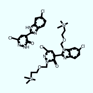 C[Si](C)(C)CCOCn1nc(Cl)cc(-c2nc3ccc(Cl)cc3n2COCC[Si](C)(C)C)c1=O.O=c1[nH]nc(Cl)cc1-c1nc2ccc(Cl)cc2[nH]1